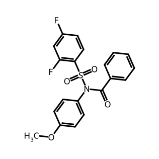 COc1ccc(N(C(=O)c2ccccc2)S(=O)(=O)c2ccc(F)cc2F)cc1